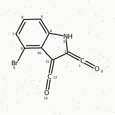 O=C=c1[nH]c2cccc(Br)c2c1=C=O